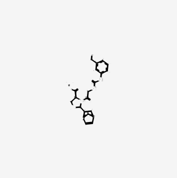 CC(C)(C)OC(=O)C1CSC(C2CC3C=CC2C3)N1C(=O)CNC(=O)Nc1cccc(CC(=O)O)c1